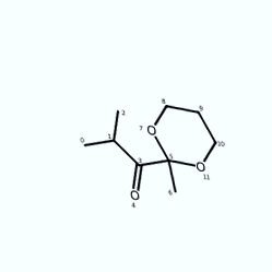 CC(C)C(=O)C1(C)OCCCO1